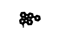 Ic1cccc2c1-c1ccccc1C21c2ccccc2-c2ccc(-c3ccccc3)cc21